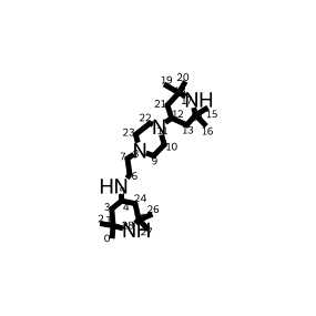 CC1(C)CC(NCCN2CCN(C3CC(C)(C)NC(C)(C)C3)CC2)CC(C)(C)N1